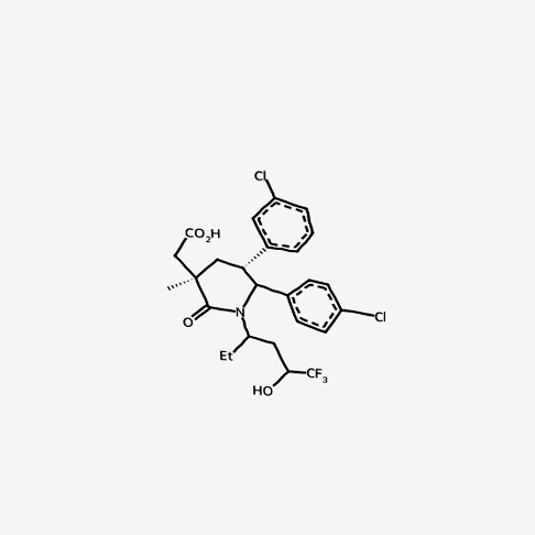 CCC(CC(O)C(F)(F)F)N1C(=O)[C@@](C)(CC(=O)O)C[C@H](c2cccc(Cl)c2)C1c1ccc(Cl)cc1